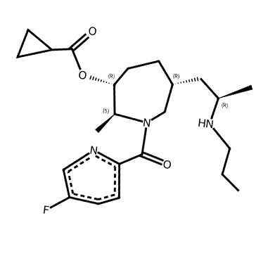 CCCN[C@H](C)C[C@H]1CC[C@@H](OC(=O)C2CC2)[C@H](C)N(C(=O)c2ccc(F)cn2)C1